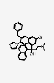 CN(C)CCC(O)(c1cccc2ccccc12)c1cc(Br)cc2cc(Cc3ccccc3)c(-n3ccnc3)nc12